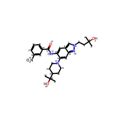 CC(C)(O)CCn1cc2cc(NC(=O)c3cccc([N+](=O)[O-])c3)c(N3CCC(C(C)(C)O)CC3)cc2n1